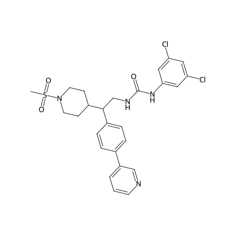 CS(=O)(=O)N1CCC(C(CNC(=O)Nc2cc(Cl)cc(Cl)c2)c2ccc(-c3cccnc3)cc2)CC1